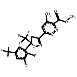 COC(=O)c1nnc(C2=NOC(c3cc(C(F)(F)F)cc(Cl)c3F)(C(F)(F)F)C2)cc1C